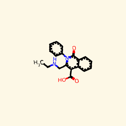 CCNCc1c(C(=O)O)c2ccccc2c(=O)n1-c1ccccc1